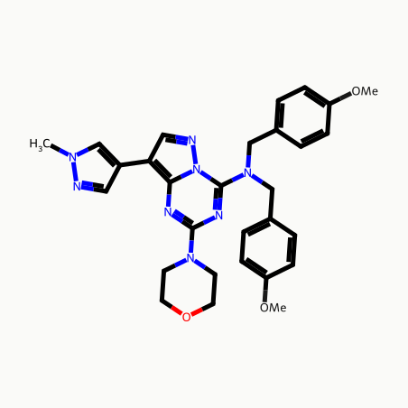 COc1ccc(CN(Cc2ccc(OC)cc2)c2nc(N3CCOCC3)nc3c(-c4cnn(C)c4)cnn23)cc1